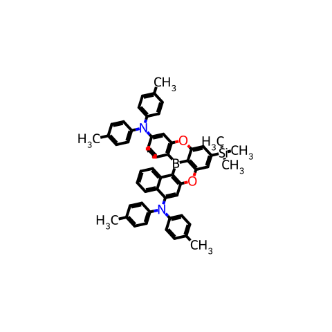 Cc1ccc(N(c2ccc(C)cc2)c2cc3c(c4ccccc24)B2c4c(cc([Si](C)(C)C)cc4Oc4cc(N(c5ccc(C)cc5)c5ccc(C)cc5)c5ccccc5c42)O3)cc1